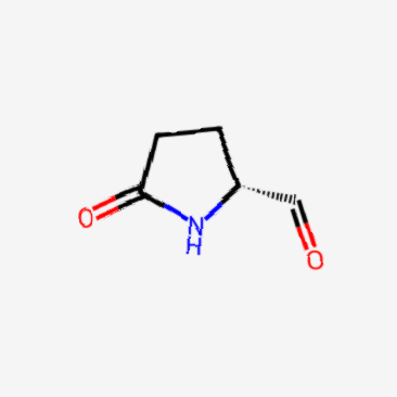 O=C[C@H]1CCC(=O)N1